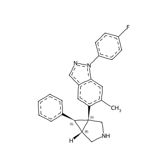 Cc1cc2c(cnn2-c2ccc(F)cc2)cc1[C@@]12CNC[C@@H]1[C@H]2c1ccccc1